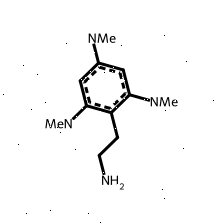 CNc1cc(NC)c(CCN)c(NC)c1